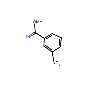 COC(=N)c1cccc([N+](=O)[O-])c1